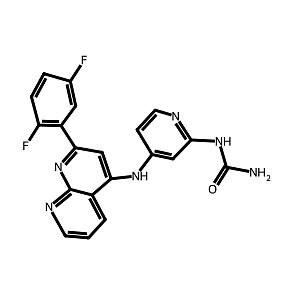 NC(=O)Nc1cc(Nc2cc(-c3cc(F)ccc3F)nc3ncccc23)ccn1